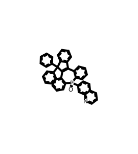 O=P1(c2ccc3cccnc3c2)c2ccccc2C2=C(c3ccccc31)C(c1ccccc1)(c1ccccc1)c1ccccc12